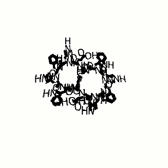 O=C(O)CC[C@@H]1NC(=O)[C@@H]2CSS[C@H](NC(=O)[C@H](Cc3c[nH]c4ccccc34)NC(=O)[C@H](Cc3c[nH]cn3)NC(=O)[C@@H](Cc3ccccc3)NC(=O)[C@H](Cc3c[nH]cn3)NC1=O)C(=O)N[C@@H](CCC(=O)O)C(=O)N[C@@H](Cc1c[nH]cn1)C(=O)N[C@H](Cc1ccccc1)C(=O)N[C@@H](Cc1c[nH]cn1)C(=O)NC(Cc1c[nH]c3ccccc13)C(=O)N2